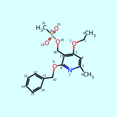 CCOc1cc(C)nc(OCc2ccccc2)c1COS(C)(=O)=O